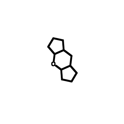 C1CC2CC3CCCC3OC2C1